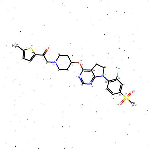 Cc1ccc(C(=O)CN2CCC(Oc3ncnc4c3CCN4c3ccc(S(C)(=O)=O)cc3F)CC2)s1